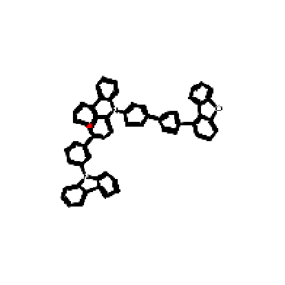 c1ccc(-c2ccccc2N(c2ccc(-c3ccc(-c4cccc5oc6ccccc6c45)cc3)cc2)c2ccc(-c3cccc(-n4c5ccccc5c5ccccc54)c3)cc2)cc1